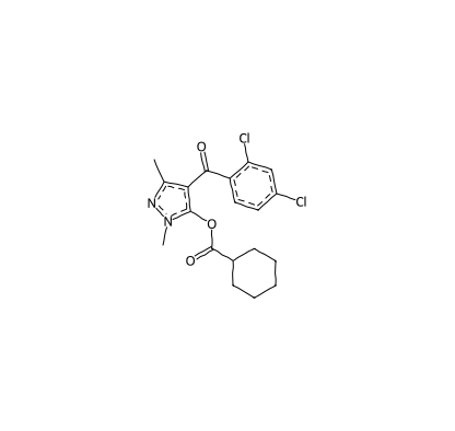 Cc1nn(C)c(OC(=O)C2CCCCC2)c1C(=O)c1ccc(Cl)cc1Cl